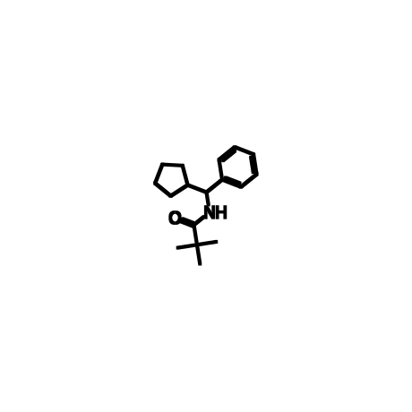 CC(C)(C)C(=O)NC(c1ccccc1)C1CCCC1